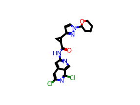 O=C(Nc1cc2cc(Cl)nc(Cl)c2cn1)C1CC1c1ccn(C2CCCCO2)n1